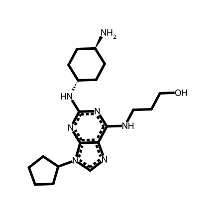 N[C@H]1CC[C@H](Nc2nc(NCCCO)c3ncn(C4CCCC4)c3n2)CC1